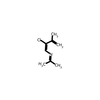 C=C(C)/C(Cl)=C\N=C(C)C